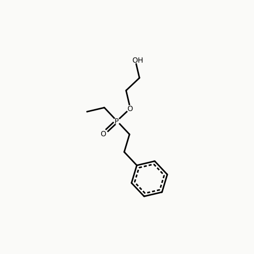 CCP(=O)(CCc1ccccc1)OCCO